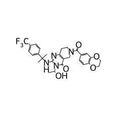 CC(O)n1c(NC(C)(C)c2ccc(C(F)(F)F)cc2)nc2c(c1=O)CN(C(=O)c1ccc3c(c1)OCCO3)CC2